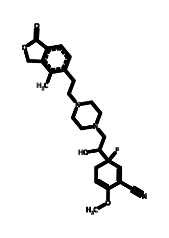 COC1=CCC(F)(C(O)CN2CCN(CCc3ccc4c(c3C)COC4=O)CC2)C=C1C#N